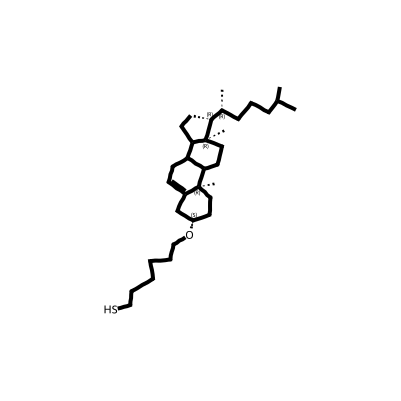 CC(C)CCC[C@@H](C)[C@H]1CCC2C3CC=C4C[C@@H](OCCCCCCS)CC[C@]4(C)C3CC[C@@]21C